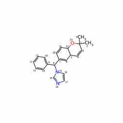 CC1(C)C=CC2C=C(C(c3ccccc3)n3ccnc3)C=CC2O1